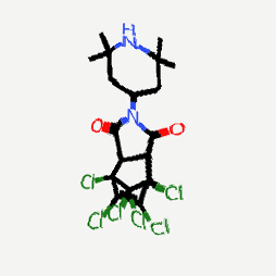 CC1(C)CC(N2C(=O)C3C(C2=O)C2(Cl)C(Cl)=C(Cl)C3(Cl)C2(Cl)Cl)CC(C)(C)N1